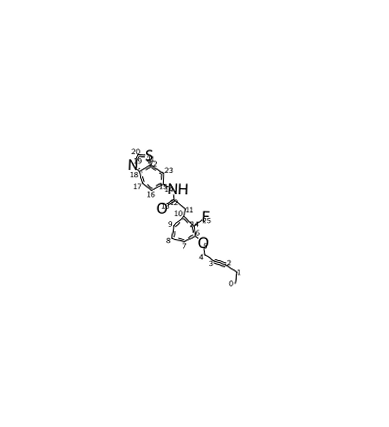 CCC#CCOc1cccc(CC(=O)Nc2ccc3ncsc3c2)c1F